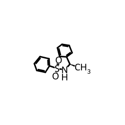 C[C@@H](NS(=O)(=O)c1ccccc1)c1ccccc1